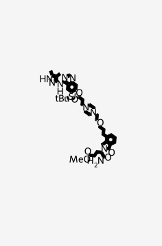 COC(=O)CCC(C(N)=O)N1Cc2c(CCCOCCN3CCN(CCCOc4cc5ncnc(Nc6n[nH]c(C)c6C)c5cc4[S+]([O-])C(C)(C)C)CC3)cccc2C1=O